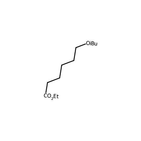 CCOC(=O)CCCCCOCC(C)C